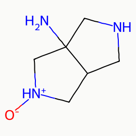 NC12CNCC1C[NH+]([O-])C2